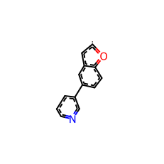 [c]1cc2cc(-c3cccnc3)ccc2o1